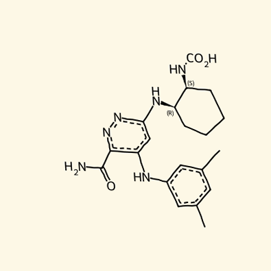 Cc1cc(C)cc(Nc2cc(N[C@@H]3CCCC[C@@H]3NC(=O)O)nnc2C(N)=O)c1